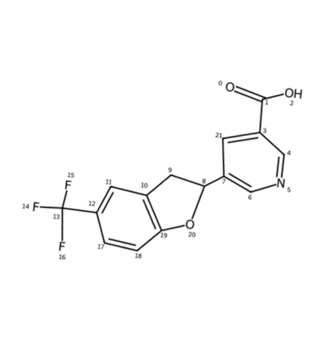 O=C(O)c1cncc(C2Cc3cc(C(F)(F)F)ccc3O2)c1